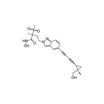 CC(CCn1cc2cc(C#CC#C[C@H]3C[C@]3(C)CO)ccc2n1)(C(=O)NO)S(C)(=O)=O